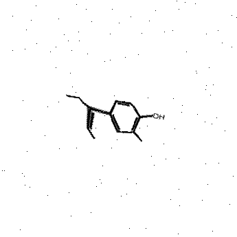 C/C=C(/CC)c1ccc(O)c(C)c1